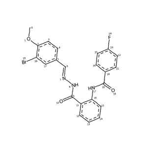 COc1ccc(C=NNC(=O)c2ccccc2NC(=O)c2ccc(F)cc2)cc1Br